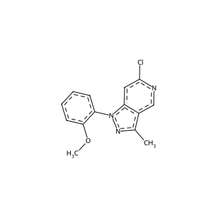 COc1ccccc1-n1nc(C)c2cnc(Cl)cc21